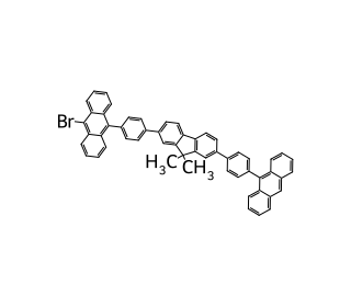 CC1(C)c2cc(-c3ccc(-c4c5ccccc5cc5ccccc45)cc3)ccc2-c2ccc(-c3ccc(-c4c5ccccc5c(Br)c5ccccc45)cc3)cc21